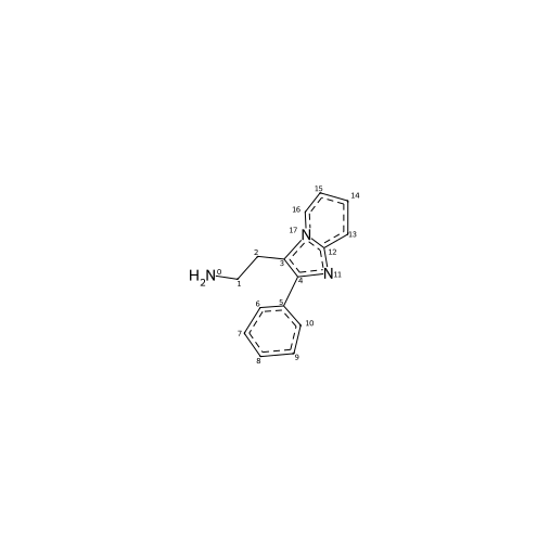 NCCc1c(-c2ccccc2)nc2ccccn12